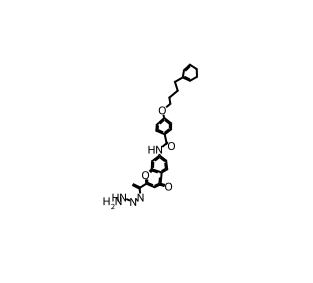 C=C(/N=N\NN)c1cc(=O)c2ccc(NC(=O)c3ccc(OCCCCC4=CCCC=C4)cc3)cc2o1